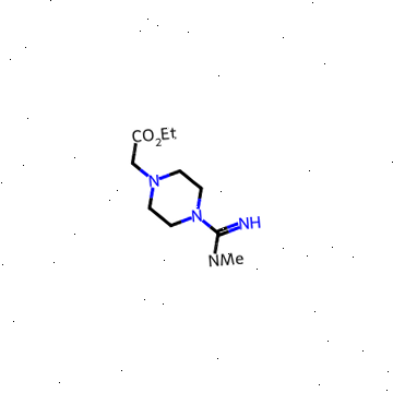 CCOC(=O)CN1CCN(C(=N)NC)CC1